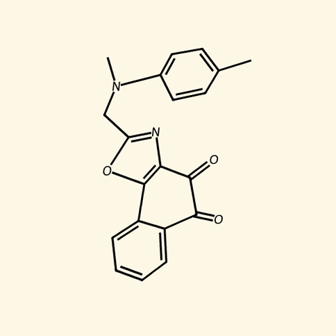 Cc1ccc(N(C)Cc2nc3c(o2)-c2ccccc2C(=O)C3=O)cc1